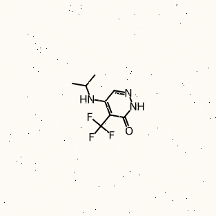 CC(C)Nc1cn[nH]c(=O)c1C(F)(F)F